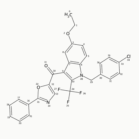 CCOc1ccc2c(c1)c(C(=O)c1cnc(-c3ccccc3)o1)c(C(F)(F)F)n2Cc1ccc(Cl)cc1